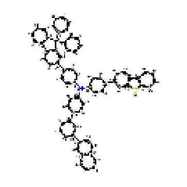 c1ccc(C2(c3ccccc3)c3ccccc3-c3ccc(-c4ccc(N(c5ccc(-c6cccc(-c7ccc8ccccc8c7)c6)cc5)c5ccc(-c6ccc7c(c6)sc6ccccc67)cc5)cc4)cc32)cc1